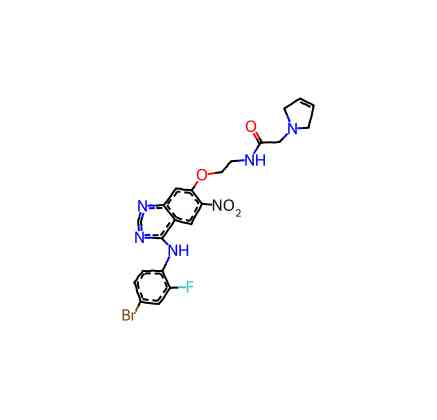 O=C(CN1CC=CC1)NCCOc1cc2ncnc(Nc3ccc(Br)cc3F)c2cc1[N+](=O)[O-]